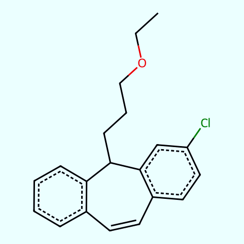 CCOCCCC1c2ccccc2C=Cc2ccc(Cl)cc21